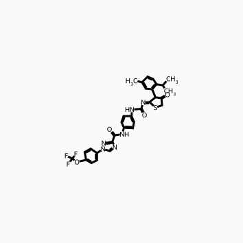 Cc1ccc(C(C)C)c(C2C(=O)CS/C2=N\C(=O)Nc2ccc(NC(=O)c3ncn(-c4ccc(OC(F)(F)F)cc4)n3)cc2)c1